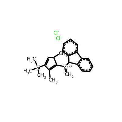 [CH2]=[Zr+2]([C]1=C(C)C([Si](C)(C)C)=CC1C)[CH]1c2ccccc2-c2ccccc21.[Cl-].[Cl-]